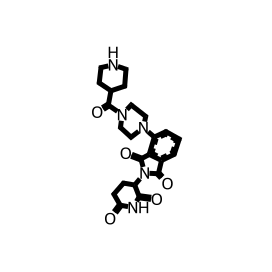 O=C1CCC(N2C(=O)c3cccc(N4CCN(C(=O)C5CCNCC5)CC4)c3C2=O)C(=O)N1